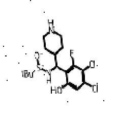 CC(C)(C)[S@+]([O-])NC(c1c(O)cc(Cl)c(Cl)c1F)C1CCNCC1